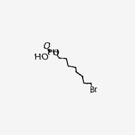 O=[PH](O)OCCCCCCCCBr